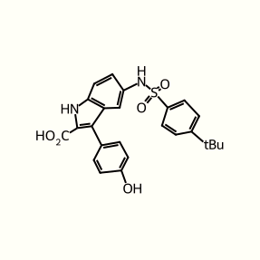 CC(C)(C)c1ccc(S(=O)(=O)Nc2ccc3[nH]c(C(=O)O)c(-c4ccc(O)cc4)c3c2)cc1